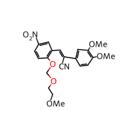 COCCOCOc1ccc([N+](=O)[O-])cc1/C=C(\C#N)c1ccc(OC)c(OC)c1